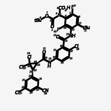 CC(C)(C)OC(=O)N(C(=O)O)c1c(F)cc(C(C)(C)C)c(NC(=O)c2cc(NC(=O)[C@H]3[C@H](c4cc(Cl)cc(C#N)c4)C3(Cl)Cl)ccc2Cl)c1F